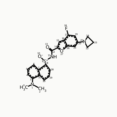 CN(C)c1cccc2c([S+]([O-])NC(=O)c3cc4c(F)cc(N5CCC5)cc4o3)cccc12